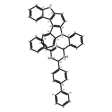 c1ccc(C2=NC(c3ccccc3-n3c4ccccc4c4c5c(ccc43)sc3ccccc35)NC(c3ccc(-c4ccccc4)cc3)N2)cc1